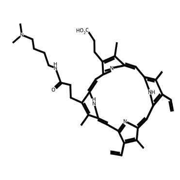 C=CC1=C(C)c2cc3[nH]c(cc4nc(cc5[nH]c(cc1n2)c(C)c5CCC(=O)NCCCCN(C)C)C(CCC(=O)O)=C4C)c(C)c3C=C